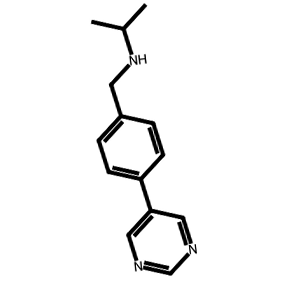 CC(C)NCc1ccc(-c2cncnc2)cc1